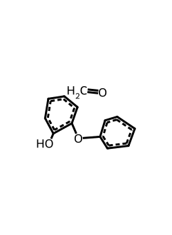 C=O.Oc1ccccc1Oc1ccccc1